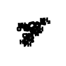 C=C(N)c1ccc2c(c1)CCc1cc(C(N)=O)ccc1C2(CCNCC(=C)N1C(C#N)C[C@@H]2C[C@@H]21)c1nnc(C)[nH]1